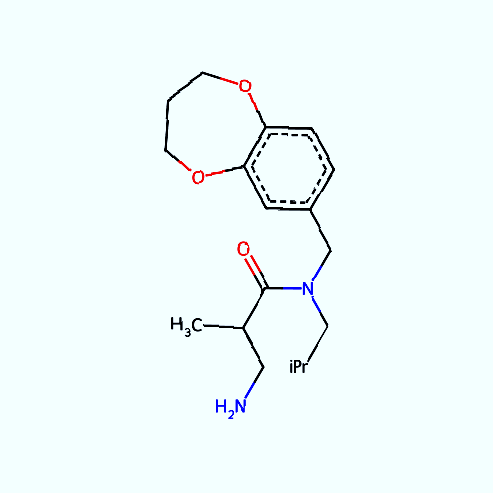 CC(C)CN(Cc1ccc2c(c1)OCCCO2)C(=O)C(C)CN